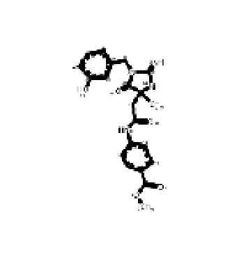 COC(=O)c1ccc(NC(=O)CC2(C)NC(=N)N(Cc3cccc(O)c3)C2=O)cc1